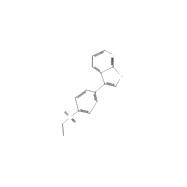 CCS(=O)(=O)c1ccc(-c2c[nH]c3ncccc23)cc1